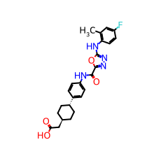 Cc1cc(F)ccc1Nc1nnc(C(=O)Nc2ccc([C@H]3CC[C@H](CC(=O)O)CC3)cc2)o1